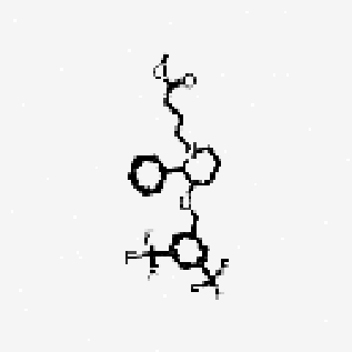 COC(=O)CCCN1CCCC(OCc2cc(C(F)(F)F)cc(C(F)(F)F)c2)C1c1ccccc1